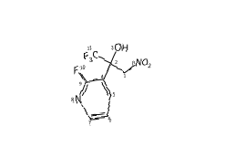 O=[N+]([O-])CC(O)(c1cccnc1F)C(F)(F)F